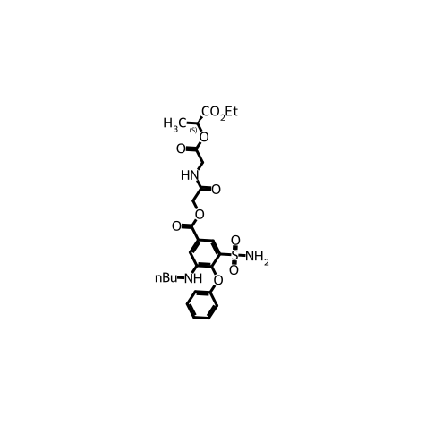 CCCCNc1cc(C(=O)OCC(=O)NCC(=O)O[C@@H](C)C(=O)OCC)cc(S(N)(=O)=O)c1Oc1ccccc1